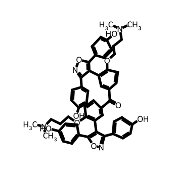 CN(C)CCCOc1ccc(C(=O)c2ccc(OCCCN(C)C)c(-c3c(-c4ccc(O)cc4)noc3-c3ccc(O)cc3)c2)cc1-c1c(-c2ccc(O)cc2)noc1-c1ccc(O)cc1